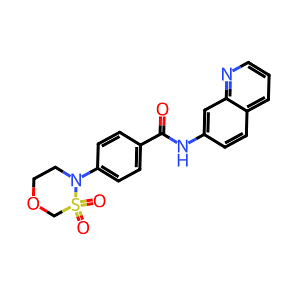 O=C(Nc1ccc2cccnc2c1)c1ccc(N2CCOCS2(=O)=O)cc1